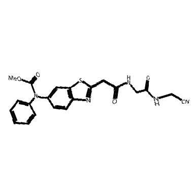 COC(=O)N(c1ccccc1)c1ccc2nc(CC(=O)NCC(=O)NCC#N)sc2c1